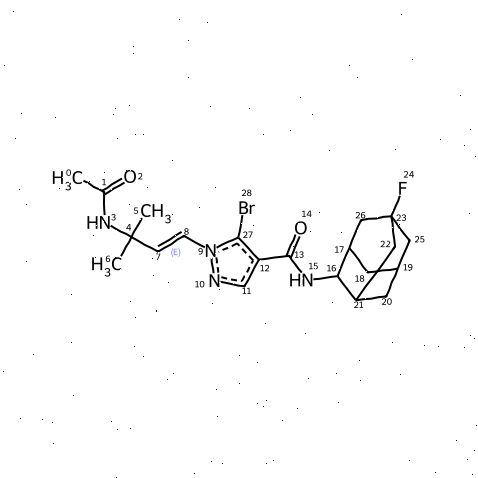 CC(=O)NC(C)(C)/C=C/n1ncc(C(=O)NC2C3CC4CC2CC(F)(C4)C3)c1Br